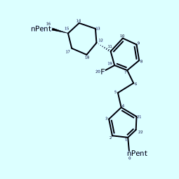 CCCCCc1ccc(CCc2cccc([C@H]3CC[C@H](CCCCC)CC3)c2F)cc1